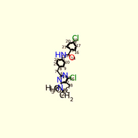 C=CN(C)c1nc(Cc2ccc(NC(=O)c3ccc(Cl)cc3)cc2)nc(Cl)c1CC(=O)O